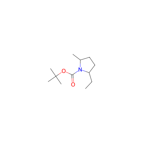 CCC1CCC(C)N1C(=O)OC(C)(C)C